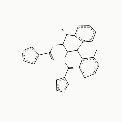 Cc1ccccc1C1c2ccccc2[C@H](C)C(OC(=O)c2cc[nH]c2)C1OC(=O)c1cc[nH]c1